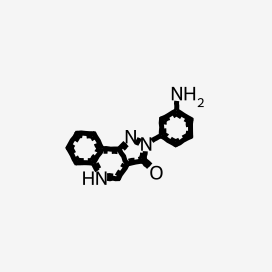 Nc1cccc(-n2nc3c4ccccc4[nH]cc-3c2=O)c1